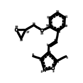 Cc1noc(C)c1C=Cc1ccccc1OCC1CO1